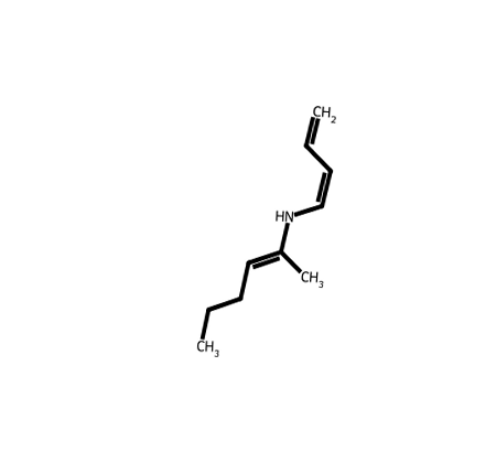 C=C/C=C\N/C(C)=C/CCC